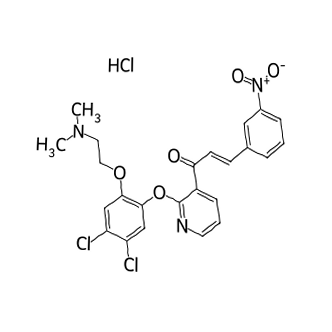 CN(C)CCOc1cc(Cl)c(Cl)cc1Oc1ncccc1C(=O)/C=C/c1cccc([N+](=O)[O-])c1.Cl